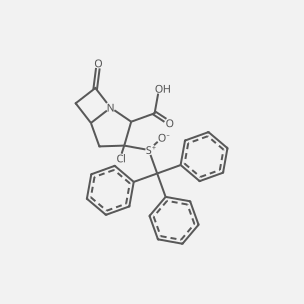 O=C(O)C1N2C(=O)CC2CC1(Cl)[S+]([O-])C(c1ccccc1)(c1ccccc1)c1ccccc1